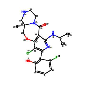 CC(C)Nc1nc(-c2c(O)cccc2F)c(Cl)c2c1C(=O)N1CCNC[C@@H]1CO2